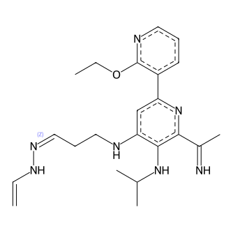 C=CN/N=C\CCNc1cc(-c2cccnc2OCC)nc(C(C)=N)c1NC(C)C